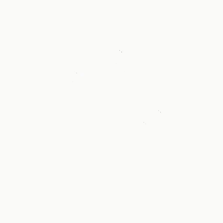 C/S(Cc1cc(N)cc(OCCCCOc2cc(F)ccc2-c2nc(Cl)ncc2F)c1)=N/C(=O)C(F)(F)F